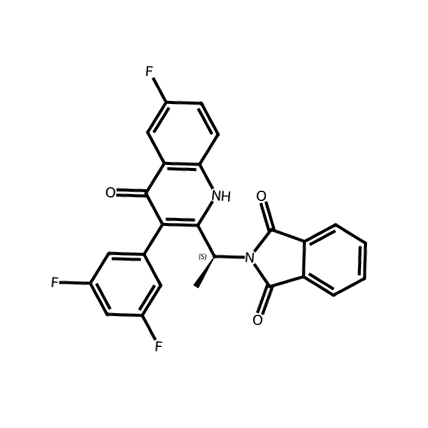 C[C@@H](c1[nH]c2ccc(F)cc2c(=O)c1-c1cc(F)cc(F)c1)N1C(=O)c2ccccc2C1=O